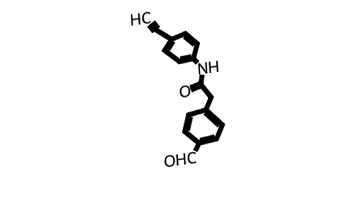 C#Cc1ccc(NC(=O)Cc2ccc(C=O)cc2)cc1